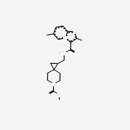 CCc1nc2ccc(Cl)cn2c1C(=O)NCC1CC12CCN(C(=O)OC(C)(C)C)CC2